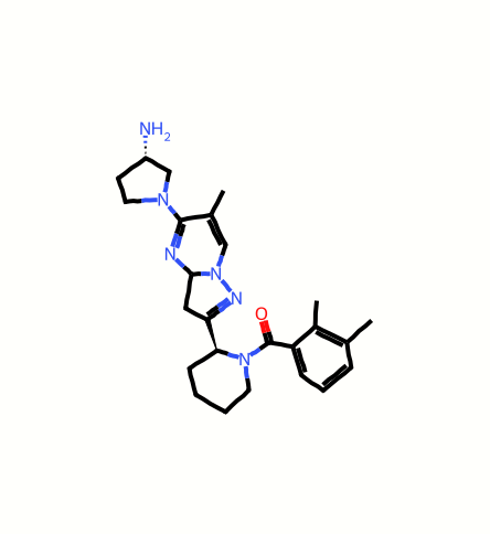 CC1=CN2N=C([C@@H]3CCCCN3C(=O)c3cccc(C)c3C)CC2N=C1N1CC[C@H](N)C1